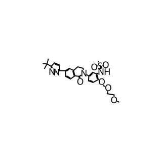 COCCOCOc1ccc(N2CCc3cc(-c4ccc(C(C)(C)C)nn4)ccc3C2=O)cc1NS(C)(=O)=O